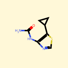 NC(=O)Nc1n[c]sc1C1CC1